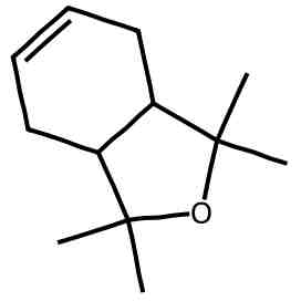 CC1(C)OC(C)(C)C2CC=CCC21